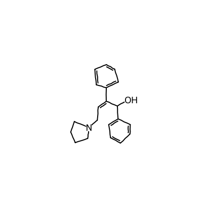 OC(C(=CCN1CCCC1)c1ccccc1)c1ccccc1